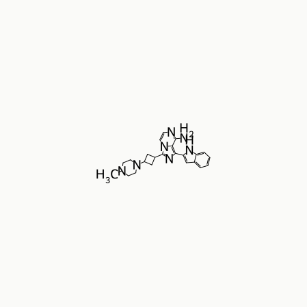 CN1CCN(C2CC(c3nc(-c4cc5ccccc5[nH]4)c4c(N)nccn34)C2)CC1